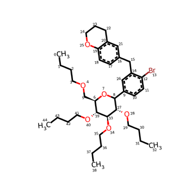 CCCCOC[C@H]1OC(c2ccc(Br)c(Cc3ccc4c(c3)CCCO4)c2)[C@H](OCCCC)[C@@H](OCCCC)[C@@H]1OCCCC